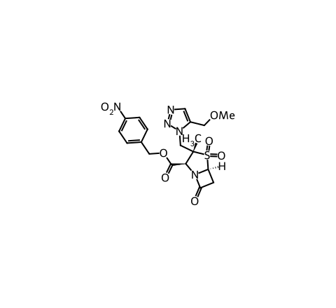 COCc1cnnn1C[C@@]1(C)[C@H](C(=O)OCc2ccc([N+](=O)[O-])cc2)N2C(=O)C[C@@H]2S1(=O)=O